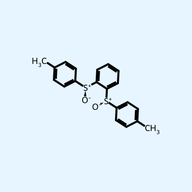 Cc1ccc([S@+]([O-])c2ccccc2[S@@+]([O-])c2ccc(C)cc2)cc1